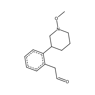 CON1CCCC(c2ccccc2CC=O)C1